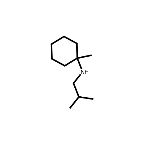 CC(C)CNC1(C)CCCCC1